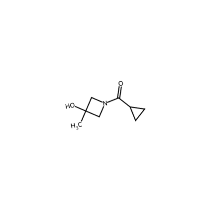 CC1(O)CN(C(=O)C2CC2)C1